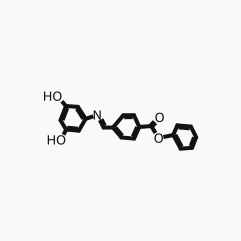 O=C(Oc1ccccc1)c1ccc(C=Nc2cc(O)cc(O)c2)cc1